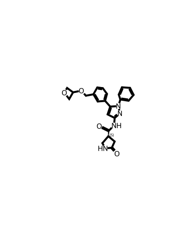 O=C1C[C@H](C(=O)Nc2cc(-c3cccc(COC4COC4)c3)n(-c3ccccc3)n2)CN1